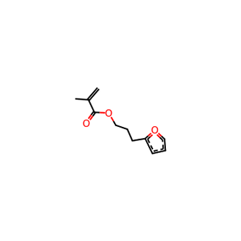 C=C(C)C(=O)OCCCc1ccco1